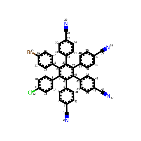 N#Cc1ccc(-c2c(-c3ccc(Cl)cc3)c(-c3ccc(Br)cc3)c(-c3ccc(C#N)cc3)c(-c3ccc(C#N)cc3)c2-c2ccc(C#N)cc2)cc1